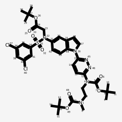 CN(CCN(C(=O)OC(C)(C)C)c1ccc(-n2ccc3cc(N(CC(=O)OC(C)(C)C)S(=O)(=O)c4cc(Cl)cc(Cl)c4)ccc32)nn1)C(=O)OC(C)(C)C